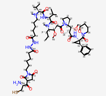 CC[C@H](C)[C@@H]([C@@H](CC(=O)N1CCC[C@H]1[C@H](OC)[C@@H](C)C(=O)N[C@@]1(C(=O)N2CCCCO2)C[C@@H]1c1ccccc1)OC)N(C)C(=O)[C@@H](NC(=O)[C@H](C(C)C)N(C)CCCCCC(=O)NNC(=O)CCCCCN1C(=O)CC(C(=O)[C@@H](N)CS)C1=O)C(C)C